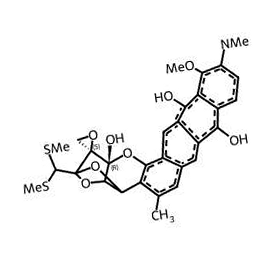 CNc1ccc2c(O)c3cc4cc(C)c5c(c4cc3c(O)c2c1OC)O[C@]1(O)C2OC(C(SC)SC)(OC52)[C@]12CO2